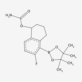 CC1(C)OB(c2c(F)ccc3c2CCCC3OC(N)=O)OC1(C)C